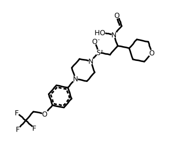 O=CN(O)C(C[S+]([O-])N1CCN(c2ccc(OCC(F)(F)F)cc2)CC1)C1CCOCC1